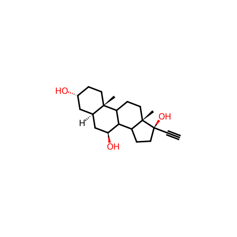 C#C[C@]1(O)CCC2C3C(CC[C@@]21C)[C@@]1(C)CC[C@@H](O)C[C@@H]1C[C@@H]3O